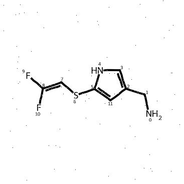 NCc1c[nH]c(SC=C(F)F)c1